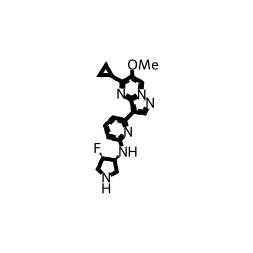 COc1cn2ncc(-c3cccc(N[C@H]4CNC[C@@H]4F)n3)c2nc1C1CC1